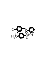 Cc1ccc(S(=O)(=O)Nc2ncccc2OCc2ccc(Cl)c(Cl)c2)cc1